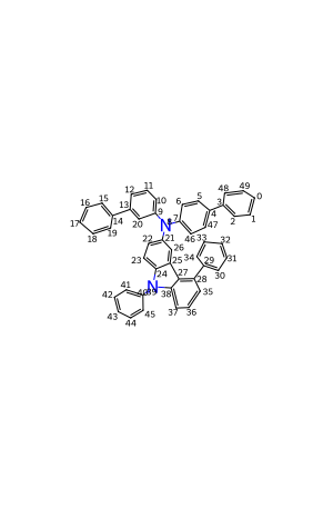 c1ccc(-c2ccc(N(c3cccc(-c4ccccc4)c3)c3ccc4c(c3)c3c(-c5ccccc5)cccc3n4-c3ccccc3)cc2)cc1